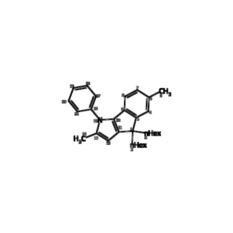 CCCCCCC1(CCCCCC)c2cc(C)ccc2-c2c1cc(C)n2-c1ccccc1